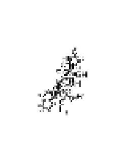 CC(C)OC(=O)[C@H](C)NP(=S)(OC[C@@]1(C(F)F)O[C@@H](n2cc(Cl)c(=O)[nH]c2=O)[C@H](O)[C@@H]1O)Oc1ccc2ccccc2c1